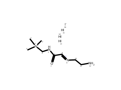 C[N+](C)(C)CNC(=O)/C=N/CCN.I.I.I.[I-]